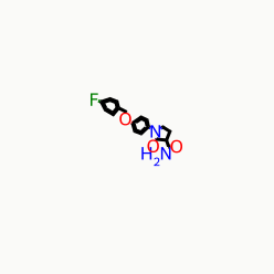 NC(=O)C1CCN(c2ccc(OCc3ccc(F)cc3)cc2)C1=O